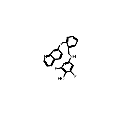 Oc1c(F)cc(NCc2ccccc2Sc2ccc3cccnc3c2)cc1F